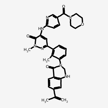 C=C(C)c1ccc2c(c1)NCN(c1cccc(-c3cc(Nc4ccc(C(=O)N5CCOCC5)cn4)c(=O)n(C)n3)c1C)C2=O